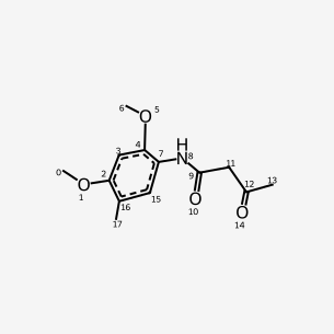 COc1cc(OC)c(NC(=O)CC(C)=O)cc1C